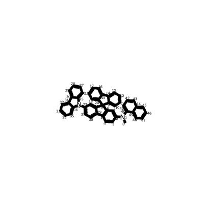 CN(c1ccc2c(c1)C1(c3ccccc3-c3ccccc31)c1cc(-n3c4ccccc4c4ccccc43)ccc1-2)c1cccc2ccccc12